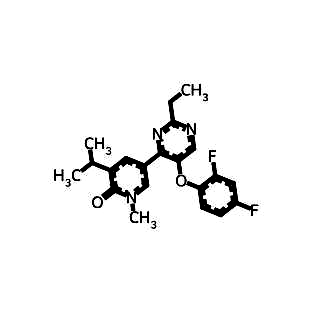 CCc1ncc(Oc2ccc(F)cc2F)c(-c2cc(C(C)C)c(=O)n(C)c2)n1